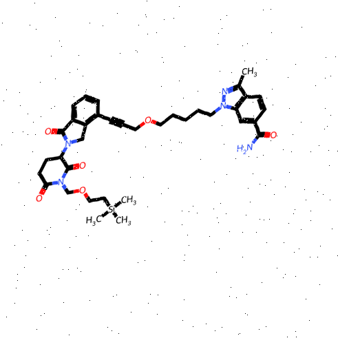 Cc1nn(CCCCCOCC#Cc2cccc3c2CN(C2CCC(=O)N(COCC[Si](C)(C)C)C2=O)C3=O)c2cc(C(N)=O)ccc12